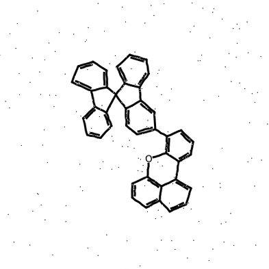 c1ccc2c(c1)-c1ccccc1C21c2ccccc2-c2cc(-c3cccc4c3Oc3cccc5cccc-4c35)ccc21